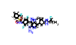 CC(C)n1nc(-c2cc(F)c(NS(=O)(=O)c3ccccc3F)cc2F)c2c(N)ncc(C3CCC(NC[C@H](C)F)CC3)c21